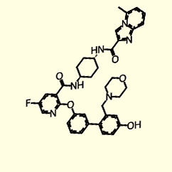 Cc1cccc2nc(C(=O)N[C@H]3CC[C@H](NC(=O)c4cc(F)cnc4Oc4cccc(-c5ccc(O)cc5CN5CCOCC5)c4)CC3)cn12